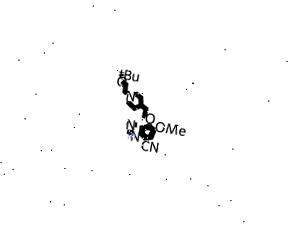 COc1cc(C#N)c(/N=C\N(C)C)cc1OCCC1CCN(CCOC(C)(C)C)CC1